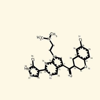 CN(C)CCn1cc(C(=O)C2COc3ccc(Cl)cc3C2)c2cnc(-c3cn[nH]c3Cl)nc21